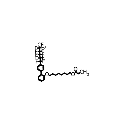 C=CC(=O)OCCCCCCCCOc1ccccc1-c1ccc(C(F)(F)C(F)(F)C(F)(F)C(F)(F)C(F)(F)C(F)(F)F)cc1